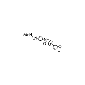 CNC1CCN(c2ccc(NC(=O)c3ccc(-c4ccc5c(c4)OCO5)o3)cc2)C1